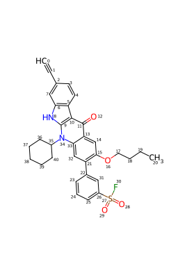 C#Cc1ccc2c(c1)[nH]c1c2c(=O)c2cc(OCCCC)c(-c3cccc(S(=O)(=O)F)c3)cc2n1C1CCCCC1